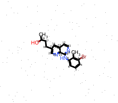 Cc1c(Br)cccc1Nc1nccc2cc(CCC(C)O)cnc12